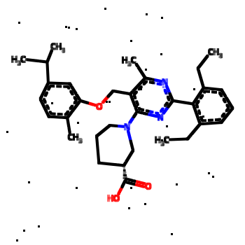 CCc1cccc(CC)c1-c1nc(C)c(COc2cc(C(C)C)ccc2C)c(N2CCC[C@@H](C(=O)O)C2)n1